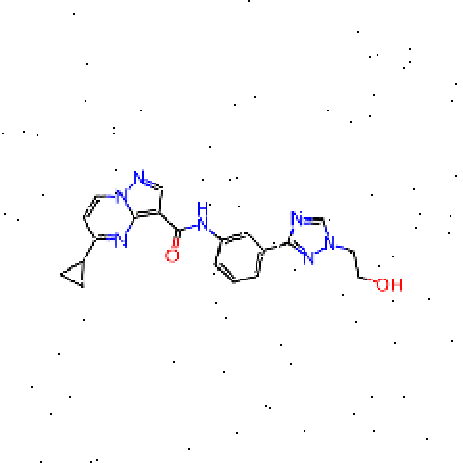 O=C(Nc1cccc(-c2ncn(CCO)n2)c1)c1cnn2ccc(C3CC3)nc12